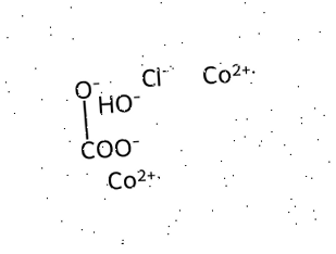 O=C([O-])[O-].[Cl-].[Co+2].[Co+2].[OH-]